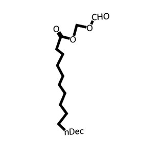 CCCCCCCCCCCCCCCCCCCC(=O)OCOC=O